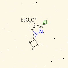 CCOC(=O)c1cn(C2CCC2)nc1Cl